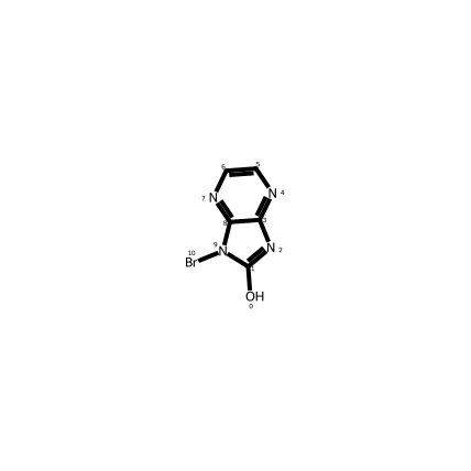 Oc1nc2nccnc2n1Br